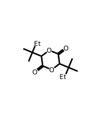 CCC(C)(C)C1OC(=O)C(C(C)(C)CC)OC1=O